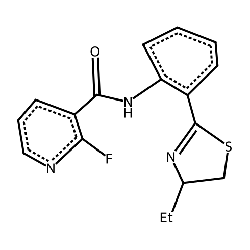 CCC1CSC(c2ccccc2NC(=O)c2cccnc2F)=N1